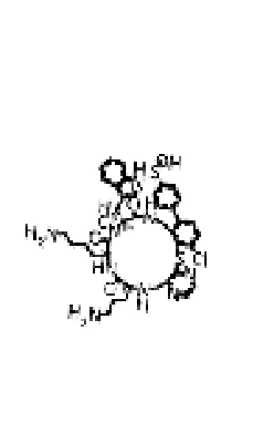 CN1C(=O)[C@H](CCCCN)NC(=O)[C@H](CCCN)NCc2nccnc2Sc2c(Cl)ccc(-c3ccc(SO)cc3)c2CNC(=O)[C@@H]1Cc1c[nH]c2ccccc12